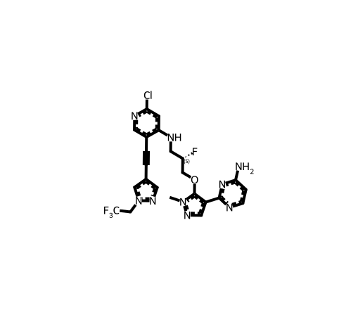 Cn1ncc(-c2nccc(N)n2)c1OC[C@@H](F)CNc1cc(Cl)ncc1C#Cc1cnn(CC(F)(F)F)c1